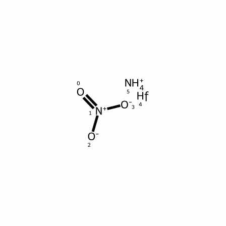 O=[N+]([O-])[O-].[Hf].[NH4+]